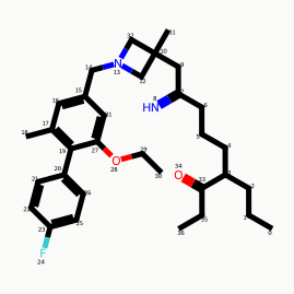 CCCC(CCCC(=N)CC1(C)CN(Cc2cc(C)c(-c3ccc(F)cc3)c(OCC)c2)C1)C(=O)CC